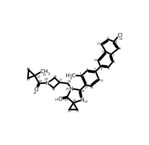 Cc1cc(-c2ccc3cc(Cl)ccc3c2)ccc1C1=NC2(CC2)C(=O)N1CC1CN(C(=O)C2(C)CC2)C1